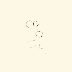 O=C(NCC(F)(F)F)[C@H]1CCCCN1c1ccnc(-c2c[nH]c3ncc(Cl)cc23)n1